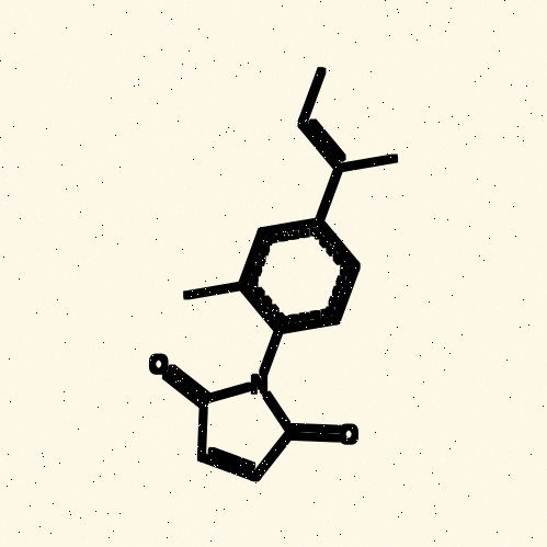 CC=C(C)c1ccc(N2C(=O)C=CC2=O)c(C)c1